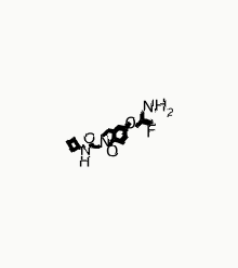 NC/C(=C/F)COc1ccc2c(c1)CCN(CC(=O)NC1CCC1)C2=O